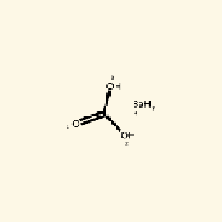 O=C(O)O.[BaH2]